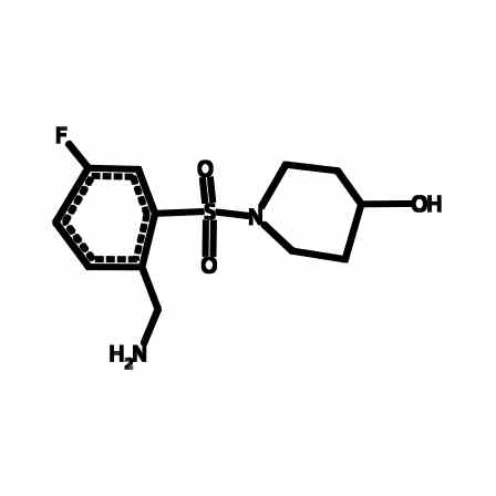 NCc1ccc(F)cc1S(=O)(=O)N1CCC(O)CC1